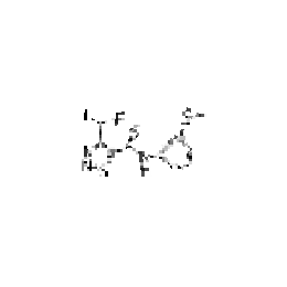 CSc1cccc(NC(=S)c2snnc2C(F)F)c1